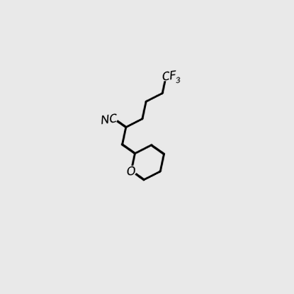 N#CC(CCCC(F)(F)F)CC1CCCCO1